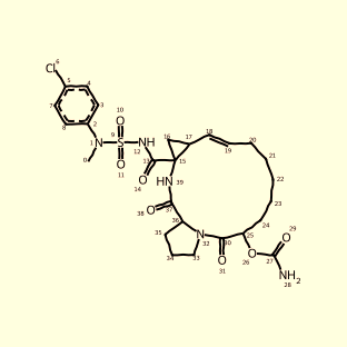 CN(c1ccc(Cl)cc1)S(=O)(=O)NC(=O)C12CC1/C=C/CCCCCC(OC(N)=O)C(=O)N1CCCC1C(=O)N2